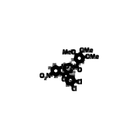 COc1cc(C(=O)N2CCCC(c3ccc(Cl)c(Cl)c3)(C(C)c3cc([N+](=O)[O-])ccc3S(=O)(=O)O)C2)cc(OC)c1OC